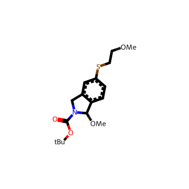 COCCSc1ccc2c(c1)CN(C(=O)OC(C)(C)C)C2OC